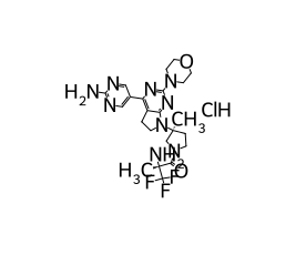 C[C@]1(N2CCc3c(-c4cnc(N)nc4)nc(N4CCOCC4)nc32)CCN(C(=O)[C@@](C)(N)C(F)(F)F)C1.Cl